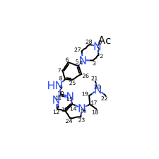 CC(=O)N1CCN(c2ccc(Nc3ncc4c(n3)N(C(C)CN(C)C)CC4)cc2)CC1